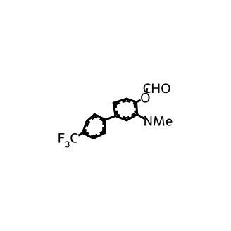 CNc1cc(-c2ccc(C(F)(F)F)cc2)ccc1OC=O